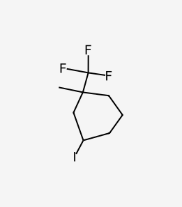 CC1(C(F)(F)F)CCCC(I)C1